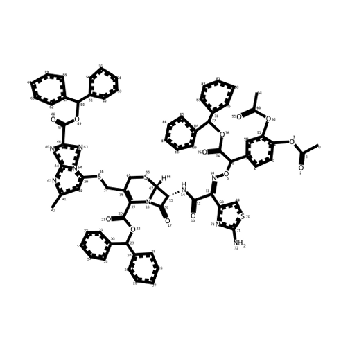 CC(=O)Oc1ccc(C(ON=C(C(=O)N[C@@H]2C(=O)N3C(C(=O)OC(c4ccccc4)c4ccccc4)=C(CSc4cc(C)nc5nc(C(=O)OC(c6ccccc6)c6ccccc6)nn45)CS[C@H]23)c2csc(N)n2)C(=O)OC(c2ccccc2)c2ccccc2)cc1OC(C)=O